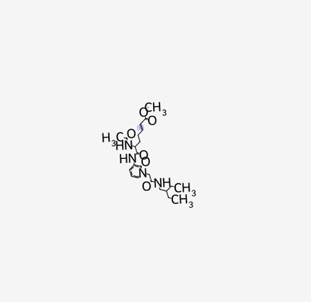 CCC(CC)CNC(=O)Cn1cccc(NC(=O)C(CC/C=C/C(=O)OC)NC(C)=O)c1=O